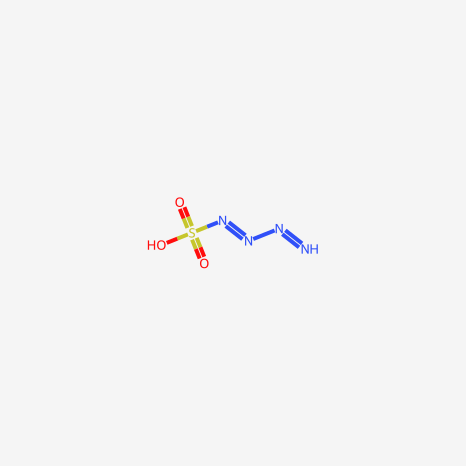 N=N/N=N/S(=O)(=O)O